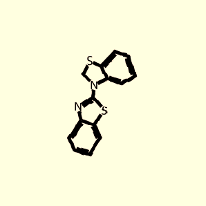 c1ccc2c(c1)SCN2c1nc2ccccc2s1